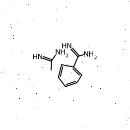 CC(=N)N.N=C(N)c1ccccc1